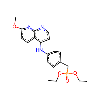 CCOP(=O)(Cc1ccc(Nc2ccnc3nc(OC)ccc23)cc1)OCC